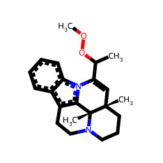 COOC(C)C1=C[C@]2(C)CCCN3CCc4c(n1c1ccccc41)[C@@]32C